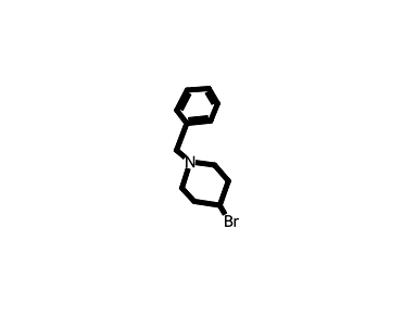 BrC1CCN(Cc2ccccc2)CC1